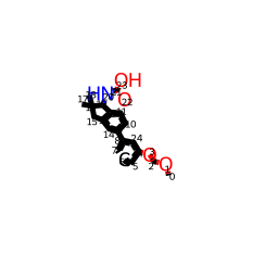 COCOc1cccc(-c2ccc3c(c2)CC(C)(C)C3NC(=O)O)c1